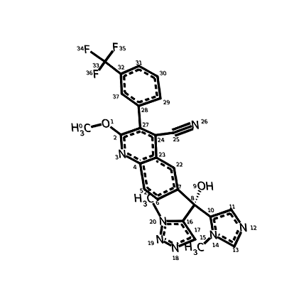 COc1nc2ccc([C@@](O)(c3cncn3C)c3cnnn3C)cc2c(C#N)c1-c1cccc(C(F)(F)F)c1